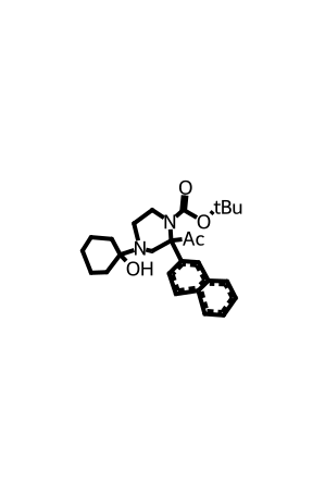 CC(=O)C1(c2ccc3ccccc3c2)CN(C2(O)CCCCC2)CCN1C(=O)OC(C)(C)C